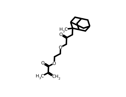 C=C(C)C(=O)OCCOCC(=O)CC1(C)C2CC3CC(C2)CC1C3